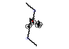 CCCCCCCC/C=C\CCCCCCCC(=O)OCC(C[N+](C)(C)C)OC(=O)CCCCCCC/C=C\CCCCCCCC.CCOS(=O)(=O)[O-]